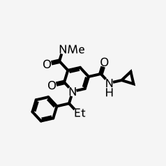 CCC(c1ccccc1)n1cc(C(=O)NC2CC2)cc(C(=O)NC)c1=O